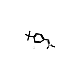 C[N+](C)=Cc1ccc(C(C)(C)C)cc1.[Cl-]